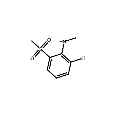 CNc1c(Cl)cccc1S(C)(=O)=O